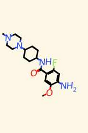 COc1cc(C(=O)NC2CCC(N3CCN(C)CC3)CC2)c(F)cc1N